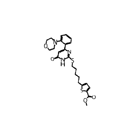 COC(=O)c1ccc(CCCCCSc2nc(-c3ccccc3N3CCOCC3)cc(=O)[nH]2)s1